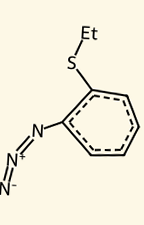 CCSc1ccccc1N=[N+]=[N-]